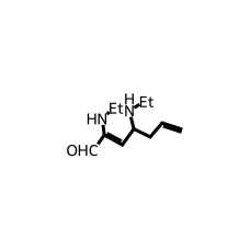 C=CCC(C=C(C=O)NCC)NCC